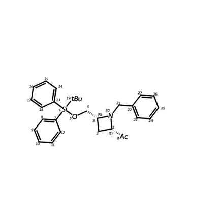 CC(=O)[C@@H]1C[C@H](CO[Si](c2ccccc2)(c2ccccc2)C(C)(C)C)N1Cc1ccccc1